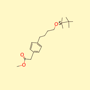 COC(=O)Cc1ccc(CCCCO[Si](C)(C)C(C)(C)C)cc1